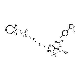 Cc1ncsc1-c1ccc(CNC(=O)[C@@H]2C[C@@H](O)CN2C(=O)[C@@H](NC(=O)CCOCCOCCNC(=O)OCC2[C@H]3CCC#CCC[C@@H]23)C(C)(C)C)cc1